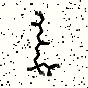 C=CC(=O)OCC(=O)OCCC(C)(O)CC(=C)O